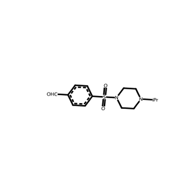 CC(C)N1CCN(S(=O)(=O)c2ccc(C=O)cc2)CC1